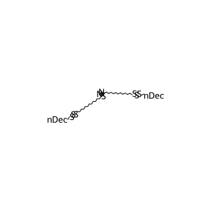 CCCCCCCCCCCCSSSCCCCCCCCCCCCc1nnc(CCCCCCCCCCCCSSSCCCCCCCCCCCC)s1